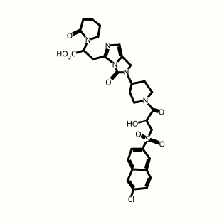 O=C(O)C(Cc1ncc2n1C(=O)N(C1CCN(C(=O)[C@H](O)CS(=O)(=O)c3ccc4cc(Cl)ccc4c3)CC1)C2)N1CCCCC1=O